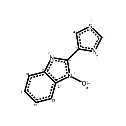 On1c(-c2cscn2)nc2ccccc21